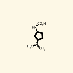 CN(C)C1CC[C@H](NC(=O)O)C1